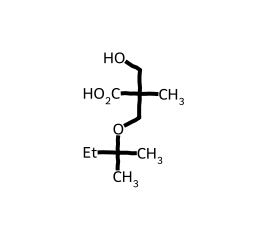 CCC(C)(C)OCC(C)(CO)C(=O)O